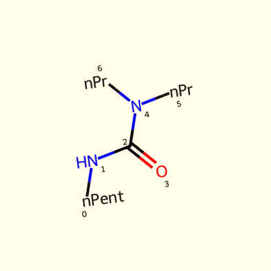 CCCCCNC(=O)N(CCC)CCC